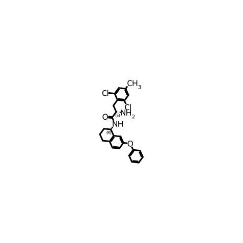 Cc1cc(Cl)c(C[C@H](N)C(=O)N[C@@H]2CCCc3ccc(Oc4ccccc4)cc32)c(Cl)c1